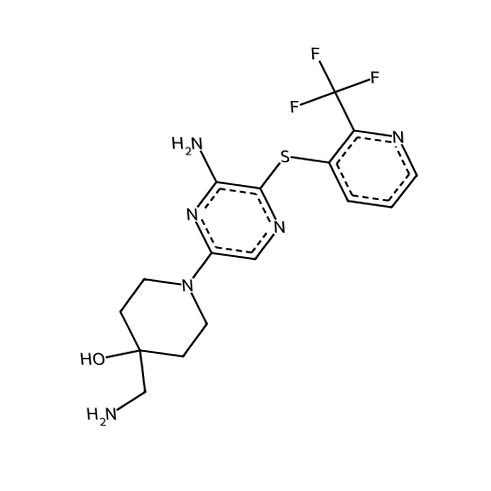 NCC1(O)CCN(c2cnc(Sc3cccnc3C(F)(F)F)c(N)n2)CC1